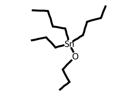 CCC[CH2][Sn]([CH2]CC)([CH2]CCC)[O]CCC